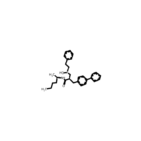 CCCCC(C)NC(=O)C(Cc1ccc(-c2ccccc2)cc1)CP(O)CCc1ccccc1